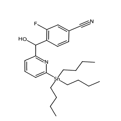 CCC[CH2][Sn]([CH2]CCC)([CH2]CCC)[c]1cccc(C(O)c2ccc(C#N)cc2F)n1